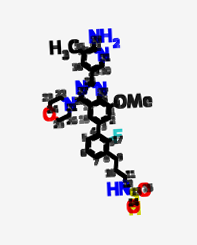 COc1cc(-c2cccc(CCCN[SH](=O)=O)c2F)cc2c(N3CCOCC3)nc(-c3cnc(N)c(C)c3)nc12